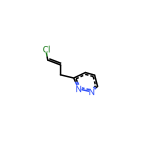 ClC=CCc1cccnn1